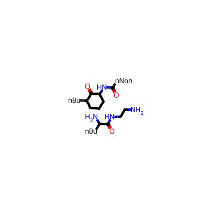 CCCCC(N)C(=O)NCCN.CCCCCCCCCC(=O)NC1CCCC(CCCC)C1=O